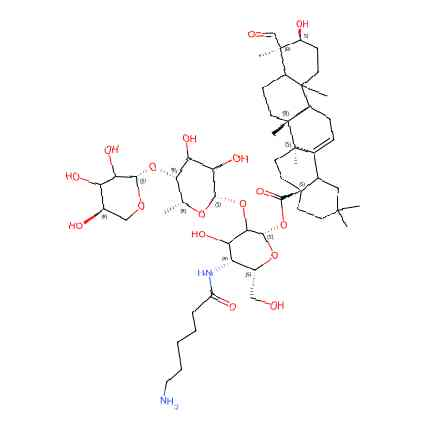 C[C@H]1O[C@@H](OC2C(O)[C@@H](NC(=O)CCCCCN)[C@@H](CO)O[C@H]2OC(=O)[C@]23CCC(C)(C)CC2C2=CCC4C5(C)CC[C@H](O)[C@](C)(C=O)C5CC[C@@]4(C)[C@]2(C)CC3)C(O)C(O)[C@H]1O[C@@H]1OC[C@@H](O)C(O)C1O